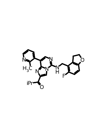 Cc1ncccc1-c1cnc(NCc2c(F)ccc3c2CCO3)n2cc(C(=O)C(C)C)nc12